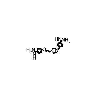 N=C(N)c1ccc(CN2CCN(CCCOc3ccc(C(=N)N)cc3)CC2)cc1